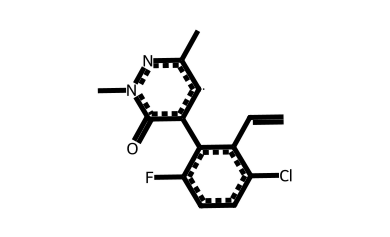 C=Cc1c(Cl)ccc(F)c1-c1[c]c(C)nn(C)c1=O